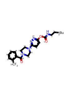 CC(C)(C)CCNC(=O)Oc1ccc(N2CCN(C(=O)c3ccccc3C(F)(F)F)CC2)nn1